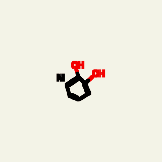 Oc1ccccc1O.[Ni]